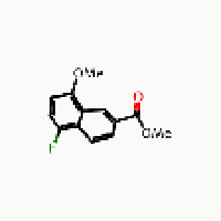 COC(=O)c1ccc2c(F)ccc(OC)c2c1